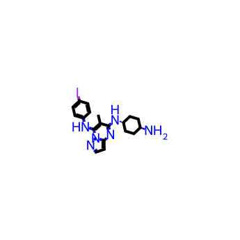 Cc1c(N[C@H]2CC[C@H](N)CC2)nc2ccnn2c1Nc1ccc(I)cc1